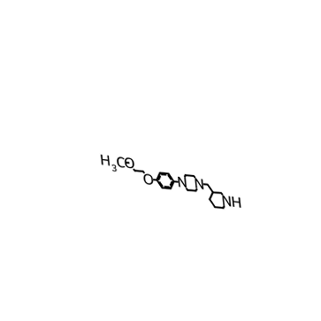 COCCOc1ccc(N2CCN(CC3CCCNC3)CC2)cc1